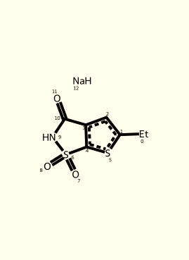 CCc1cc2c(s1)S(=O)(=O)NC2=O.[NaH]